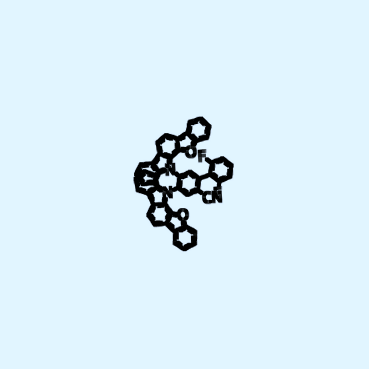 N#Cc1cc(-n2c3ccccc3c3ccc4c5ccccc5oc4c32)c(-n2c3ccccc3c3ccc4c5ccccc5oc4c32)cc1-c1c(F)cccc1F